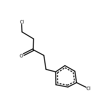 O=C(CCCl)CCc1ccc(Cl)cc1